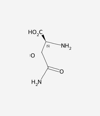 NC(=O)C[C@H](N)C(=O)O.[O]